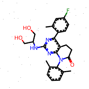 Cc1cc(F)ccc1-c1nc(NC(CO)CO)nc2c1CCC(=O)N2c1c(C)cccc1C